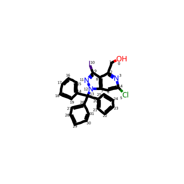 OCc1nc(Cl)cc2c1c(I)nn2C(c1ccccc1)(c1ccccc1)c1ccccc1